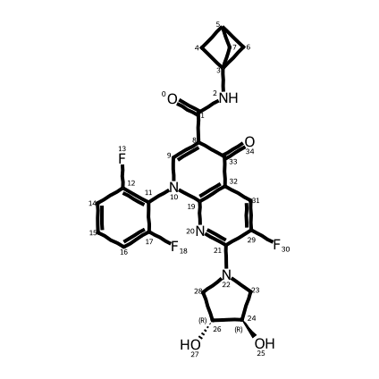 O=C(NC12CC(C1)C2)c1cn(-c2c(F)cccc2F)c2nc(N3C[C@@H](O)[C@H](O)C3)c(F)cc2c1=O